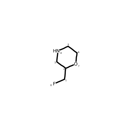 FCC1CNCCO1